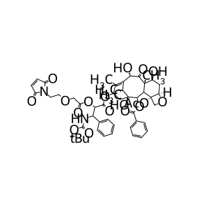 CC(=O)O[C@@]12CO[C@@H]1C[C@H](O)[C@@]1(C)C(=O)[C@H](O)C3=C(C)C(OC(=O)C(OC(=O)COCCN4C(=O)C=CC4=O)C(NC(=O)OC(C)(C)C)c4ccccc4)C[C@@](O)(C(OC(=O)c4ccccc4)C12)C3(C)C